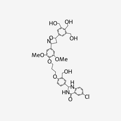 COc1cc(C2=NOC(c3cc(CO)c(CO)c(CO)c3)C2)cc(OC)c1OCCCOc1ccc(C2NC(=O)c3cc(Cl)ccc3N2)cc1CO